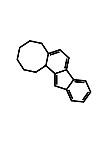 C1=C2CCCCCC[C]2C2=Cc3ccccc3C2=C1